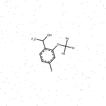 [2H]C([2H])([2H])Oc1cc(F)ccc1C(O)C(F)(F)F